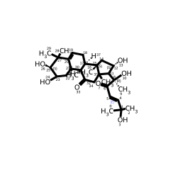 CC(C)(O)/C=C/C(=O)[C@](C)(O)C1[C@@H](O)C[C@@]2(C)[C@@H]3CC=C4[C@H](CC(O)[C@@H](O)C4(C)C)[C@@]3(C)C(=O)CC12C